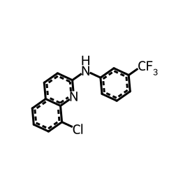 FC(F)(F)c1cccc(Nc2ccc3cccc(Cl)c3n2)c1